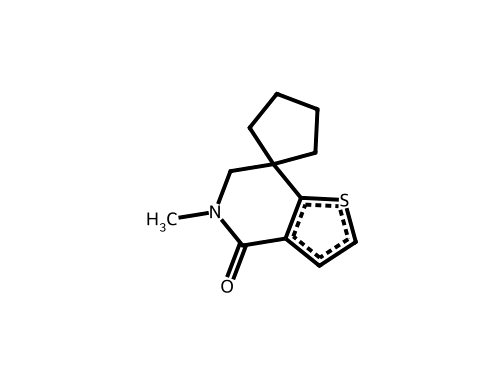 CN1CC2(CCCC2)c2sccc2C1=O